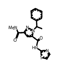 CNC(=O)c1cc(C(=O)Nc2nccs2)n(C(C)c2ccccc2)n1